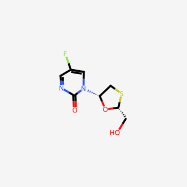 O=c1ncc(F)cn1[C@@H]1CS[C@H](CO)O1